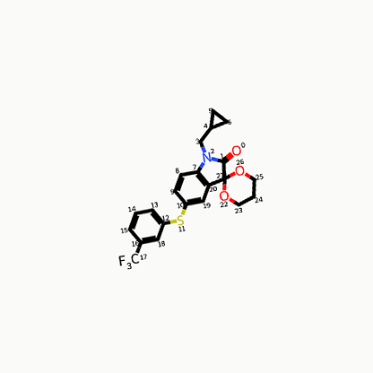 O=C1N(CC2CC2)c2ccc(Sc3cccc(C(F)(F)F)c3)cc2C12OCCCO2